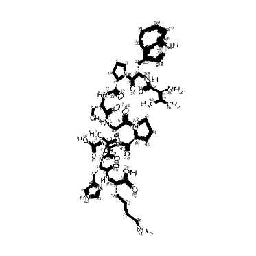 CC(C)C[C@H](NC(=O)[C@H](CO)NC(=O)[C@@H]1CCCN1C(=O)[C@H](Cc1c[nH]c2ccccc12)NC(=O)[C@@H](N)C(C)C)C(=O)N1CCC[C@H]1C(=O)N[C@@H](CC(=O)O)C(=O)N[C@@H](Cc1c[nH]cn1)C(=O)N[C@@H](CCCCN)C(=O)O